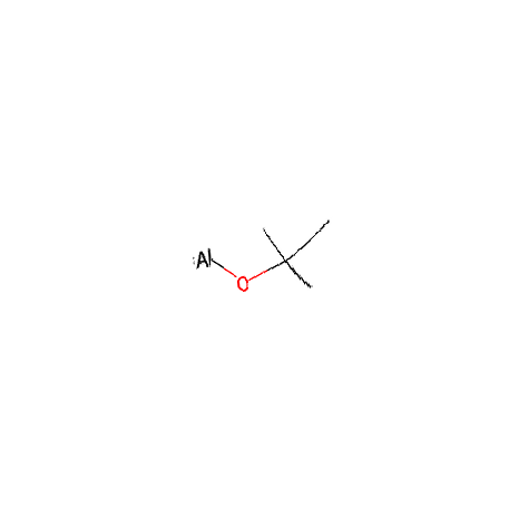 CC(C)(C)[O][Al]